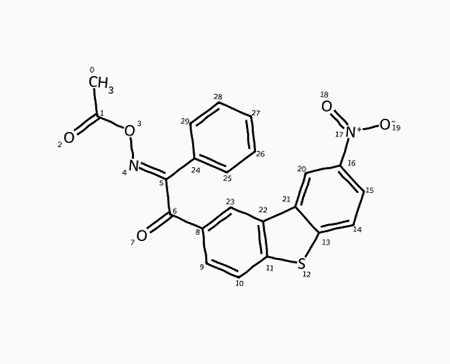 CC(=O)O/N=C(/C(=O)c1ccc2sc3ccc([N+](=O)[O-])cc3c2c1)c1ccccc1